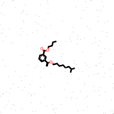 C=C(OCCCCCCC(C)C)c1cccc(C(=O)OCCCC)c1